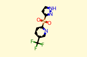 O=S(=O)(c1ccc(C(F)(F)F)cn1)c1cc[nH]n1